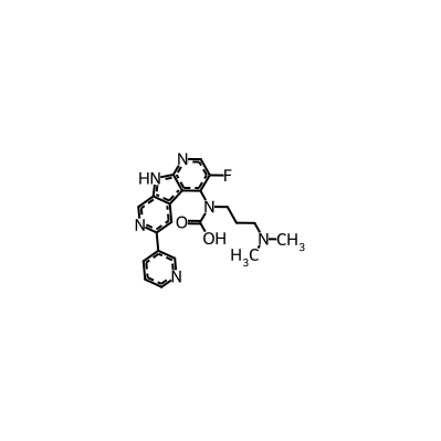 CN(C)CCCN(C(=O)O)c1c(F)cnc2[nH]c3cnc(-c4cccnc4)cc3c12